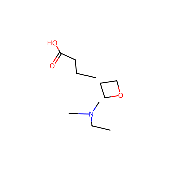 C1COC1.CCCC(=O)O.CCN(C)C